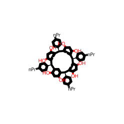 CCCc1ccc([C@H]2c3cc(c(O)cc3O)[C@@H](c3ccc(CCC)cc3)c3cc(c(O)cc3O)[C@@H](c3ccc(CCC)cc3)c3cc(c(O)cc3O)[C@@H](c3ccc(CCC)cc3)c3cc2c(O)cc3O)cc1